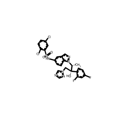 C[C@@H](n1ncc2cc(NS(=O)(=O)c3cc(Cl)ccc3Cl)ccc21)[C@](O)(Cn1cncn1)c1ccc(F)cc1F